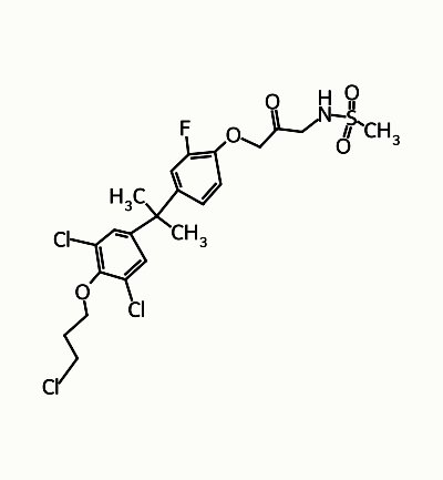 CC(C)(c1ccc(OCC(=O)CNS(C)(=O)=O)c(F)c1)c1cc(Cl)c(OCCCCl)c(Cl)c1